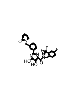 O=C(NCc1ccc(F)cc1C(F)(F)F)c1nc(-c2cccc(Cn3ccccc3=O)c2)nc(O)c1O